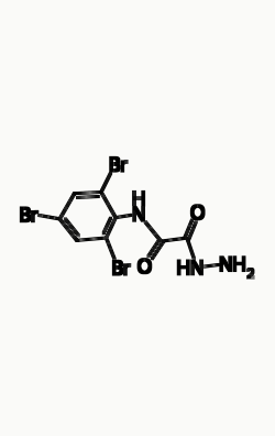 NNC(=O)C(=O)Nc1c(Br)cc(Br)cc1Br